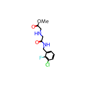 COC(=O)CNCC(=O)NCc1cccc(Cl)c1F